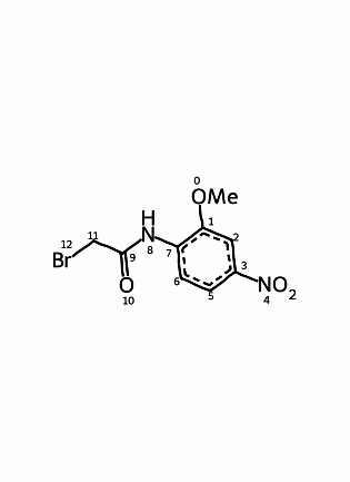 COc1cc([N+](=O)[O-])ccc1NC(=O)CBr